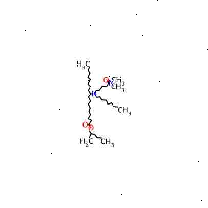 CCCCCCCCCC(CCCCCCCCC(=O)OCC(CC)CCCC)N(CCCCCCCCC)CCCCC(=O)N(C)C